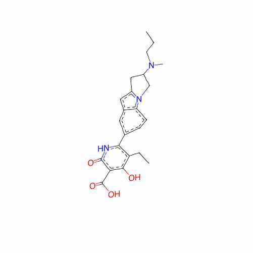 CCCN(C)C1Cc2cc3cc(-c4[nH]c(=O)c(C(=O)O)c(O)c4CC)ccc3n2C1